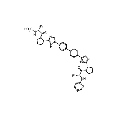 CC(C)[C@H](NC(=O)O)C(=O)N1CCC[C@H]1c1ncc(-c2ccc(-c3ccc(-c4cnc([C@@H]5CCCN5C(=O)[C@@H](Nc5ccncn5)C(C)C)[nH]4)cc3)cc2)[nH]1